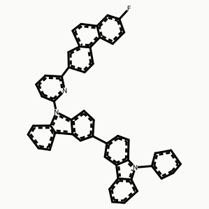 Fc1ccc2c(ccc3cc(-c4cccc(-n5c6ccccc6c6cc(-c7ccc8c(c7)c7ccccc7n8-c7ccccc7)ccc65)n4)ccc32)c1